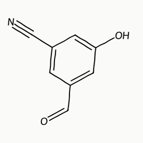 N#Cc1cc(O)cc(C=O)c1